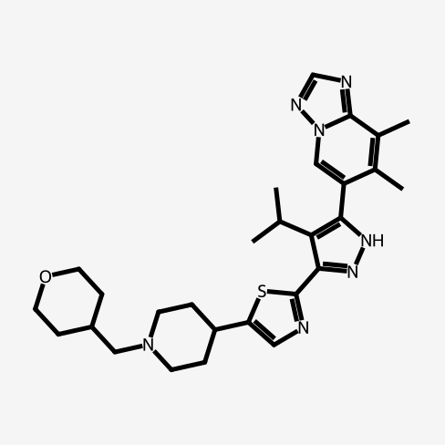 Cc1c(-c2[nH]nc(-c3ncc(C4CCN(CC5CCOCC5)CC4)s3)c2C(C)C)cn2ncnc2c1C